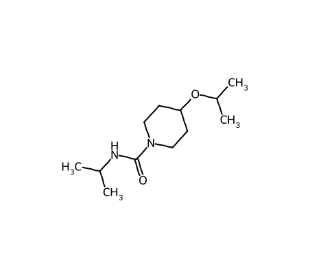 CC(C)NC(=O)N1CCC(OC(C)C)CC1